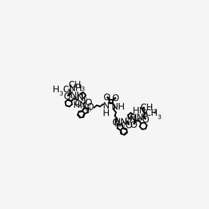 CN[C@@H](C)C(=O)N[C@H](C(=O)N1CCC[C@H]1C(=O)N[C@H]1c2ccccc2C[C@H]1OCCCCNc1c(NCCCCO[C@@H]2Cc3ccccc3[C@@H]2NC(=O)[C@@H]2CCCN2C(=O)[C@@H](NC(=O)[C@H](C)NC)C2CCCCC2)c(=O)c1=O)C1=CCCCC1